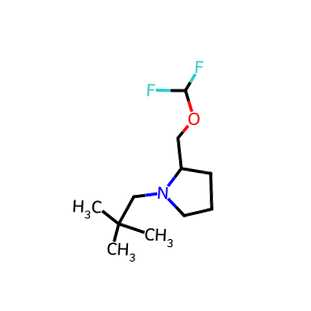 CC(C)(C)CN1CCCC1COC(F)F